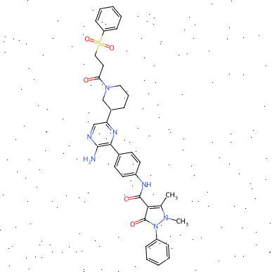 Cc1c(C(=O)Nc2ccc(-c3nc(C4CCCN(C(=O)CCS(=O)(=O)c5ccccc5)C4)cnc3N)cc2)c(=O)n(-c2ccccc2)n1C